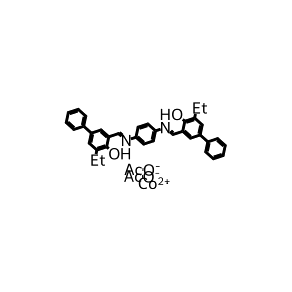 CC(=O)[O-].CC(=O)[O-].CCc1cc(-c2ccccc2)cc(C=Nc2ccc(N=Cc3cc(-c4ccccc4)cc(CC)c3O)cc2)c1O.[Co+2]